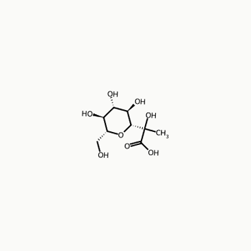 CC(O)(C(=O)O)[C@@H]1O[C@H](CO)[C@@H](O)[C@H](O)[C@H]1O